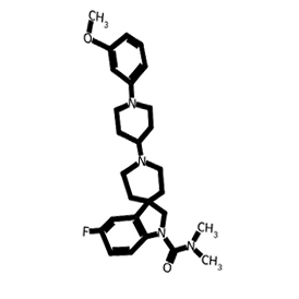 COc1cccc(N2CCC(N3CCC4(CC3)CN(C(=O)N(C)C)c3ccc(F)cc34)CC2)c1